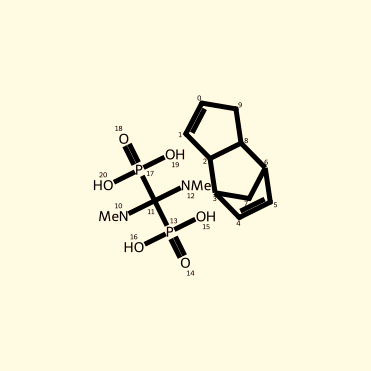 C1=CC2C3C=CC(C3)C2C1.CNC(NC)(P(=O)(O)O)P(=O)(O)O